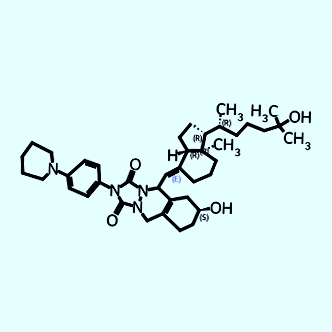 C[C@H](CCCC(C)(C)O)[C@H]1CC[C@H]2/C(=C/C3C4=C(CC[C@H](O)C4)Cn4c(=O)n(-c5ccc(N6CCCCC6)cc5)c(=O)n43)CCC[C@]12C